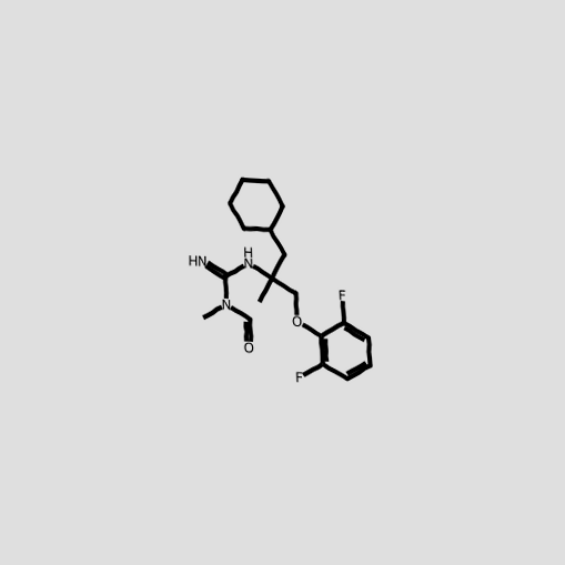 CN(C=O)C(=N)NC(C)(COc1c(F)cccc1F)CC1CCCCC1